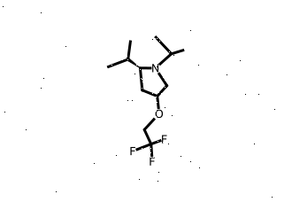 CC(C)[C@@H]1CC(OCC(F)(F)F)CN1C(C)C